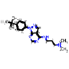 CN(C)CCCNc1ncnc2c1cnn2-c1ccc(C(C)(C)C)cc1